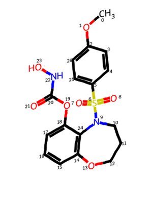 COc1ccc(S(=O)(=O)N2CCCOc3cccc(OC(=O)NO)c32)cc1